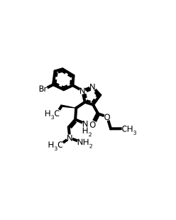 CCOC(=O)c1cnn(-c2cccc(Br)c2)c1[C@H](CC)/C(N)=C/N(C)N